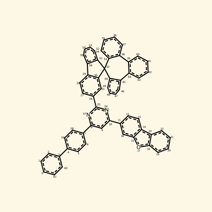 c1ccc(-c2ccc(-c3cc(-c4ccc5c(c4)oc4ccccc45)nc(-c4ccc5c(c4)C4(c6ccccc6-c6ccccc6-c6ccccc64)c4ccccc4-5)n3)cc2)cc1